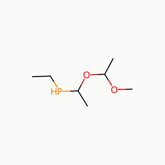 CCPC(C)OC(C)OC